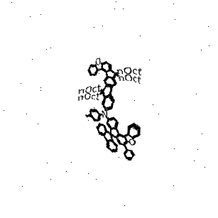 CCCCCCCCC1(CCCCCCCC)c2cc(N(c3ccc(C)cc3)c3ccc4c(c3)C3(c5ccccc5-c5ccccc53)c3cc(-c5ccccc5)c5oc6ccccc6c5c3-4)ccc2-c2cc3c(cc21)-c1c(ccc2oc4ccccc4c12)C3(CCCCCCCC)CCCCCCCC